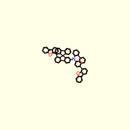 c1ccc(-c2ccccc2N(c2ccc(-c3cccc4c3oc3ccccc34)cc2)c2ccc3c(c2)C2(c4ccccc4-c4ccccc42)c2c-3cccc2-c2cccc3c2oc2ccccc23)cc1